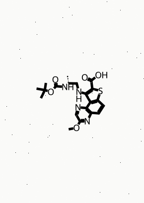 COc1cnc2c(ccc3sc(C(=O)O)c(NC[C@@H](C)NC(=O)OC(C)(C)C)c32)n1